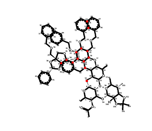 CC(=O)O[C@H]1C(C)O[C@H](C)[C@H](O[C@@H]2OC(C)[C@H](O[C@@H]3OC[C@@H](C)C(O[C@@H]4OC[C@@]5(COCc6ccccc6)O[C@@H](c6ccccc6)OC45)[C@H]3OCc3ccccc3)C(O[C@@H]3OC(COCc4ccccc4)C(OCc4ccccc4)[C@@H](OCc4ccccc4)[C@H]3C)[C@@H]2C)C1O[C@@H]1OC(C)[C@H](C)C2OC(C)(C)O[C@@H]21